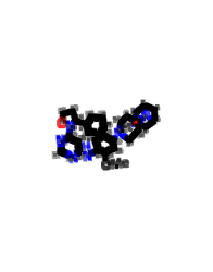 CCN1CC2CC(C1)N2C1CCN(c2ccc(Nc3cc(N4OCCC4c4ccccc4)ncn3)c(OC)c2)CC1